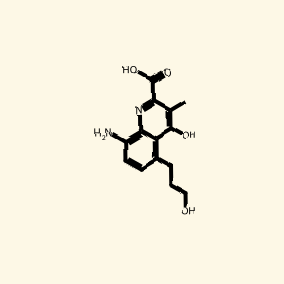 Cc1c(C(=O)O)nc2c(N)ccc(CCCO)c2c1O